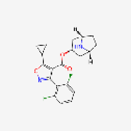 O=C(O[C@@H]1C[C@H]2CC[C@@H](C1)N2)c1c(-c2c(F)cccc2F)noc1C1CC1